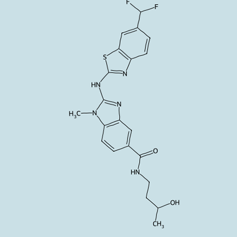 CC(O)CCNC(=O)c1ccc2c(c1)nc(Nc1nc3ccc(C(F)F)cc3s1)n2C